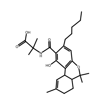 CCCCCc1cc2c(c(O)c1C(=O)NC(C)(C)C(=O)O)C1C=C(C)CCC1C(C)(C)O2